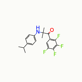 CC(C)c1ccc(NC(C)(C)C(=O)c2cc(F)c(F)c(F)c2F)cc1